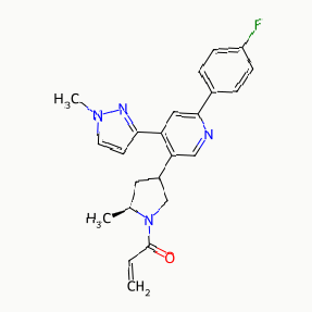 C=CC(=O)N1CC(c2cnc(-c3ccc(F)cc3)cc2-c2ccn(C)n2)C[C@@H]1C